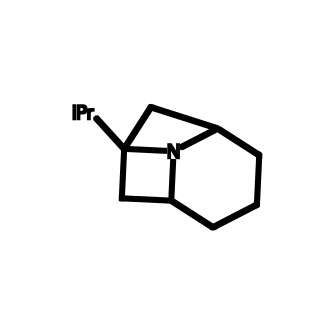 CC(C)C12CC3CCCC(C1)N32